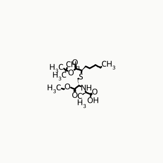 CCCCC[C@@H](SC[C@H](N[C@H](C)C(=O)O)C(=O)OCC)C(=O)OC(C)(C)C